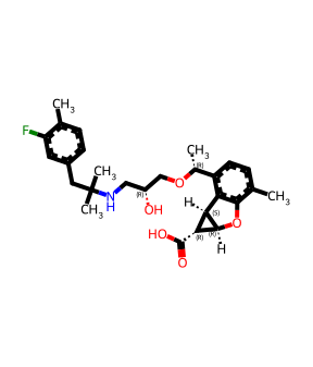 Cc1ccc(CC(C)(C)NC[C@@H](O)CO[C@H](C)c2ccc(C)c3c2[C@H]2[C@@H](O3)[C@@H]2C(=O)O)cc1F